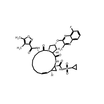 Cc1nc2cccc(F)c2nc1O[C@@H]1C[C@H]2C(=O)N[C@]3(C(=O)NS(=O)(=O)C4CC4)C[C@H]3C=CCCCCC[C@H](NC(=O)c3noc(C)c3C)C(=O)N2C1